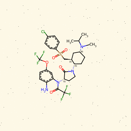 CC(C)N(C)[C@@H]1CC[C@H](N2CC[C@H](N(C(=O)C(F)(F)F)c3cc(OC(F)(F)F)ccc3N)C2=O)[C@@H](CS(=O)(=O)c2ccc(Cl)cc2)C1